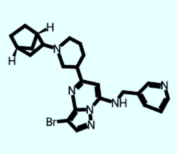 Brc1cnn2c(NCc3cccnc3)cc(C3CCCN(C4C[C@@H]5CC[C@H]4C5)C3)nc12